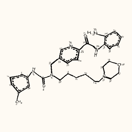 Cc1cccc(NC(=O)N(CCCCCN2CCOCC2)Cc2ccc(C(=O)Nc3ccccc3N)nc2)c1